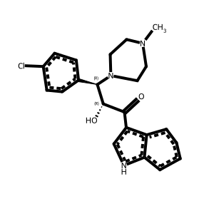 CN1CCN([C@H](c2ccc(Cl)cc2)[C@@H](O)C(=O)c2c[nH]c3ccccc23)CC1